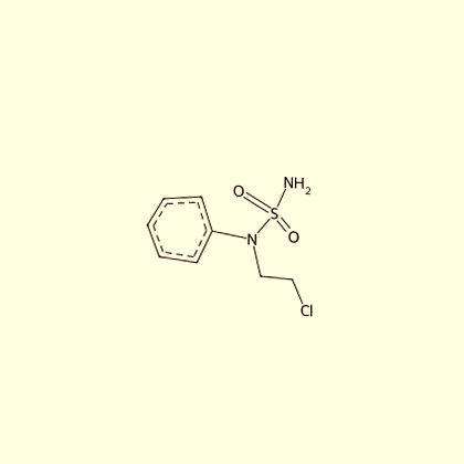 NS(=O)(=O)N(CCCl)c1ccccc1